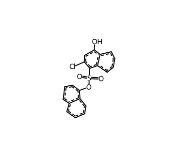 O=S(=O)(Oc1cccc2ccccc12)c1c(Cl)cc(O)c2ccccc12